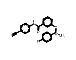 C[C@@H](Oc1cccc(C(=O)Nc2ccc(C#N)cc2)c1)c1ccc(F)cc1